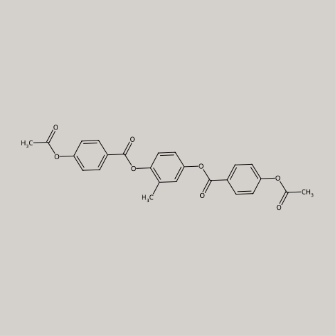 CC(=O)Oc1ccc(C(=O)Oc2ccc(OC(=O)c3ccc(OC(C)=O)cc3)c(C)c2)cc1